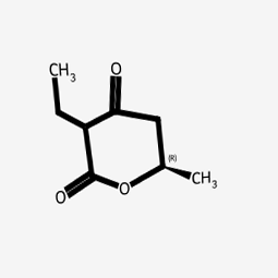 CCC1C(=O)C[C@@H](C)OC1=O